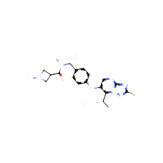 CO[C@@H](C)c1c(Nc2ccc([C@H](N(C)C(=O)C3CN(C(C)=O)C3)C(F)(F)F)cc2)cnc2nc(Cl)nn12